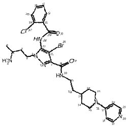 CC(N)CCn1nc(C(=O)NCCC2CCN(c3ccncc3)CC2)c(Br)c1NC(=O)c1ccccc1Cl